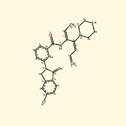 C=C/C=C(\C(=C/C)NC(=O)c1cccc(N2Cc3cc(Cl)ccc3C2=O)n1)N1CCSCC1